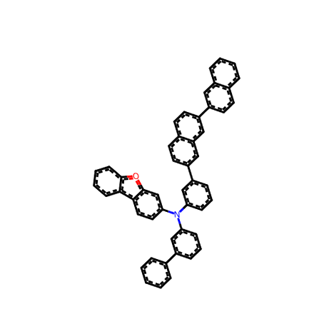 c1ccc(-c2cccc(N(c3cccc(-c4ccc5ccc(-c6ccc7ccccc7c6)cc5c4)c3)c3ccc4c(c3)oc3ccccc34)c2)cc1